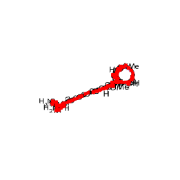 CO[C@H]1C[C@@H]2CC[C@@H](C)[C@@](O)(O2)C(=O)C(=O)N2CCCC[C@H]2C(=O)O[C@H]([C@H](N)C[C@@H]2CC[C@@H](OC(=O)NCCOCCOCCOCCOCCOCCOCCOCCOCCC(=O)NCc3ccc(Cn4nc(-c5ccc6oc(N)nc6c5)c5c(N)ncnc54)cc3)[C@H](OC)C2)CC(=O)[C@H](C)/C=C(\C)[C@@H](O)[C@@H](O)C(=O)[C@H](C)C[C@H](C)/C=C/C=C/C=C/1C